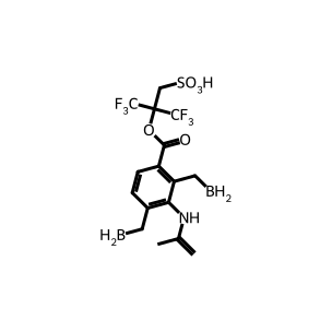 BCc1ccc(C(=O)OC(CS(=O)(=O)O)(C(F)(F)F)C(F)(F)F)c(CB)c1NC(=C)C